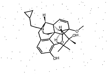 COC12C=C[C@]3(C[C@@H]1[C@](C)(O)C(C)(C)C)[C@H]1Cc4ccc(O)c5c4[C@@]3(CCN1CC1CC1)[C@H]2O5